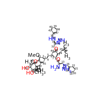 COc1cc(/C=C/c2cc(OC/C(N)=C/N(N)Cc3ccccc3)c(CC=C(C)C)c(OC/C(=C/NCc3ccccc3)N=N)c2)cc2c1O[C@]1(C)C[C@@H](O)[C@@H](O)C(C)(C)[C@H]1C2